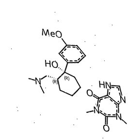 COc1cccc([C@@]2(O)CCCC[C@@H]2CN(C)C)c1.Cn1c(=O)c2[nH]cnc2n(C)c1=O